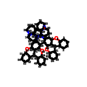 c1ccc2c(c1)Oc1cc(-n3c4ccccc4c4cccnc43)c(-c3c(-n4c5ccccc5c5cccnc54)cc4c5c3Oc3ccccc3B5c3ccccc3O4)c3c1B2c1ccccc1O3